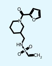 C=CS(=O)(=O)NCC1CCCN(C(=O)c2ccco2)C1